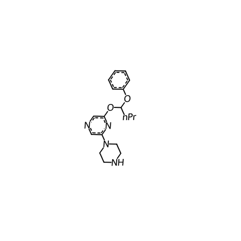 CCCC(Oc1ccccc1)Oc1cncc(N2CCNCC2)n1